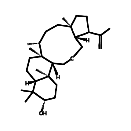 C=C(C)C1CC[C@]2(C)CC[C@@H](C)[C@]3(C)CC[C@H]4C(C)(C)[C@@H](O)CC[C@]4(C)[C@H]3CCC[C@@H]12